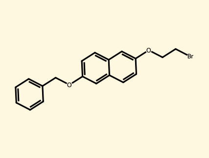 BrCCOc1ccc2cc(OCc3ccccc3)ccc2c1